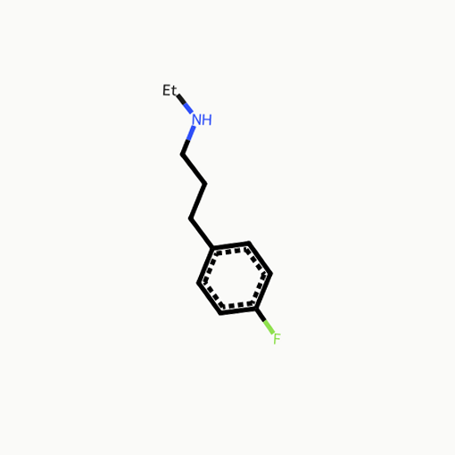 CCNCCCc1ccc(F)cc1